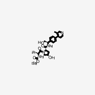 Cc1cnccc1-c1ccc([C@H](CO)NC(=O)[C@@H]2C[C@@H](O)CN2C(=O)[C@@H](NC(=O)OC(C)(C)C)C(C)C)cc1